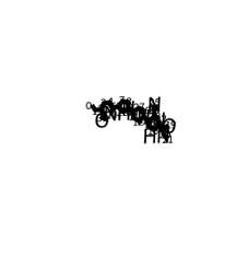 CCc1ccc(C2CCN(C3CCN(c4ccc(C(=O)NC)nc4C#N)CC3)C2)[nH]c1=O